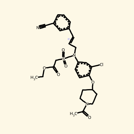 CCOC(=O)CS(=O)(=O)N(C/C=C/c1cccc(C#N)c1)c1ccc(OC2CCN(C(C)=O)CC2)c(Cl)c1